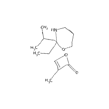 CC1=COC1=O.CCC1(C(C)C)NCCCO1